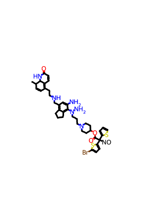 CC1C=CC(CCNCc2cc(N)c(N(N)CCCN3CCC(OC(=O)C(N=O)(c4cccs4)c4ccc(Br)s4)CC3)c3c2CCC3)=C2C=CC(=O)NC21